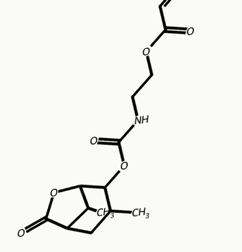 C=CC(=O)OCCNC(=O)OC1C(C)CC2C(=O)OC1C2C